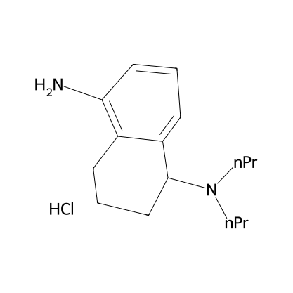 CCCN(CCC)C1CCCc2c(N)cccc21.Cl